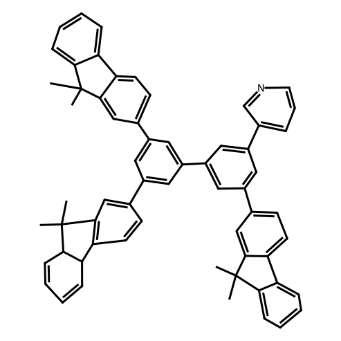 CC1(C)c2ccccc2-c2ccc(-c3cc(-c4cccnc4)cc(-c4cc(-c5ccc6c(c5)C(C)(C)c5ccccc5-6)cc(-c5ccc6c(c5)C(C)(C)C5C=CC=CC65)c4)c3)cc21